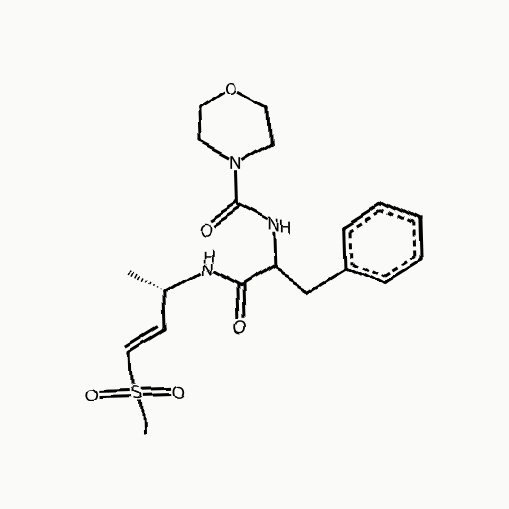 C[C@@H](/C=C/S(C)(=O)=O)NC(=O)C(Cc1ccccc1)NC(=O)N1CCOCC1